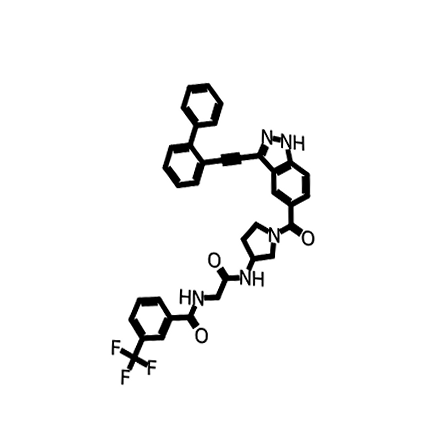 O=C(CNC(=O)c1cccc(C(F)(F)F)c1)NC1CCN(C(=O)c2ccc3[nH]nc(C#Cc4ccccc4-c4ccccc4)c3c2)C1